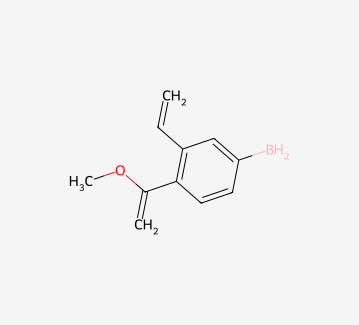 Bc1ccc(C(=C)OC)c(C=C)c1